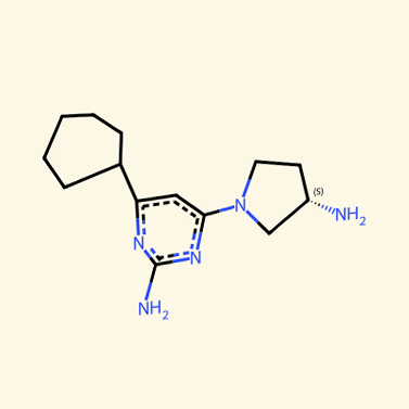 Nc1nc(C2CCCCC2)cc(N2CC[C@H](N)C2)n1